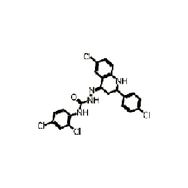 O=C(NN=C1CC(c2ccc(Cl)cc2)Nc2ccc(Cl)cc21)Nc1ccc(Cl)cc1Cl